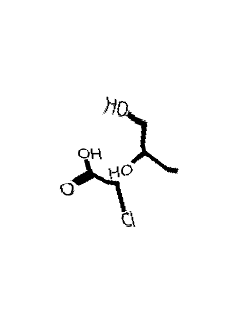 CC(O)CO.O=C(O)CCl